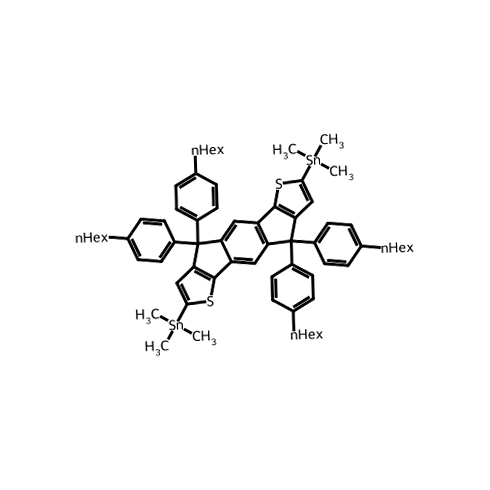 CCCCCCc1ccc(C2(c3ccc(CCCCCC)cc3)c3cc4c(cc3-c3s[c]([Sn]([CH3])([CH3])[CH3])cc32)C(c2ccc(CCCCCC)cc2)(c2ccc(CCCCCC)cc2)c2c[c]([Sn]([CH3])([CH3])[CH3])sc2-4)cc1